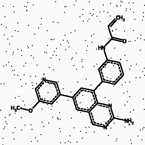 C=CC(=O)Nc1cccc(-c2cc(-c3cncc(OC)c3)cc3cnc(N)nc23)c1